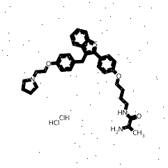 CC(N)C(=O)NCCCCOc1ccc(-c2sc3ccccc3c2Cc2ccc(OCCN3CCCC3)cc2)cc1.Cl.Cl